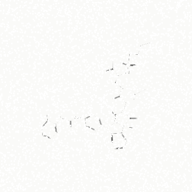 CCCCS(=O)(=O)N[C@@H](CNC(=O)[C@H](CC(C)C)N1C(=O)N(Cc2ccc(NC(=O)Nc3ccccc3C)cc2)[C@@](C)(c2ccccc2)C1=O)C(=O)O